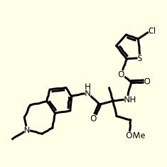 COCCC(C)(NC(=O)Oc1ccc(Cl)s1)C(=O)Nc1ccc2c(c1)CCN(C)CC2